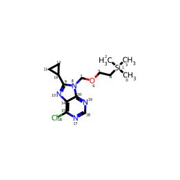 C[Si](C)(C)CCOCn1c(C2CC2)nc2c(Cl)ncnc21